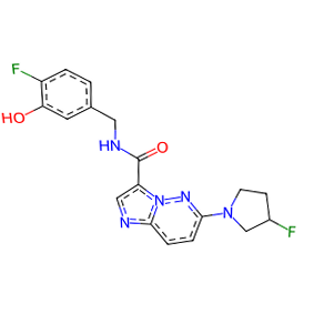 O=C(NCc1ccc(F)c(O)c1)c1cnc2ccc(N3CCC(F)C3)nn12